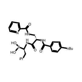 CCCCc1ccc(C(=O)N[C@@H](CNC(=O)c2ccccn2)C(=O)N[C@@H](CC(C)C)B(O)O)cc1